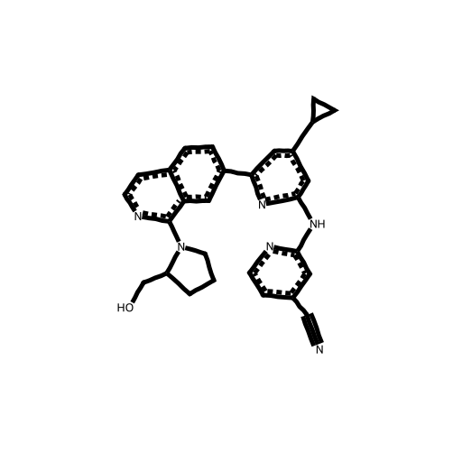 N#Cc1ccnc(Nc2cc(C3CC3)cc(-c3ccc4ccnc(N5CCCC5CO)c4c3)n2)c1